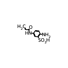 C=CC(=O)Nc1ccc(N)c(S(=O)(=O)O)c1